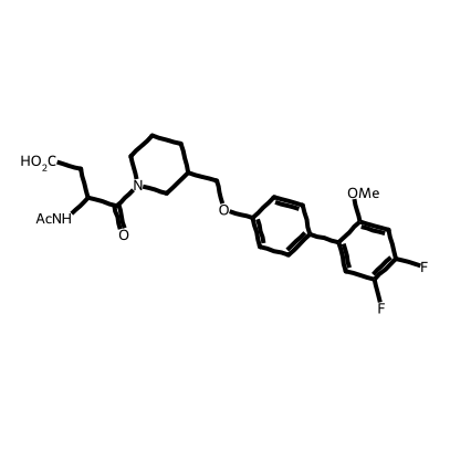 COc1cc(F)c(F)cc1-c1ccc(OCC2CCCN(C(=O)C(CC(=O)O)NC(C)=O)C2)cc1